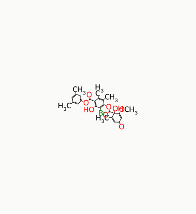 COC1=CC(=O)C=C(C)[C@]1(O)C(=O)Oc1c(C)c(C)c(C(=O)Oc2cc(C)cc(C)c2)c(O)c1Br